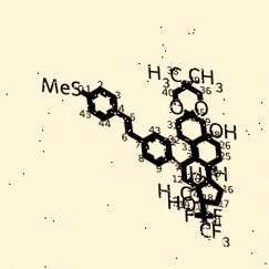 CSc1ccc(C=Cc2ccc([C@H]3C[C@@]4(C)[C@@H](CC[C@@]4(O)C(F)(F)C(F)(F)F)[C@@H]4CC[C@@]5(O)CC6(CCC5=C43)OCC(C)(C)CO6)cc2)cc1